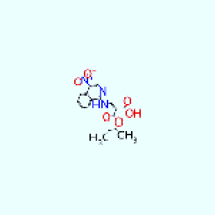 CCC(C)OC(=O)C(=CNc1ncc([N+](=O)[O-])c2ccccc12)C(=O)O